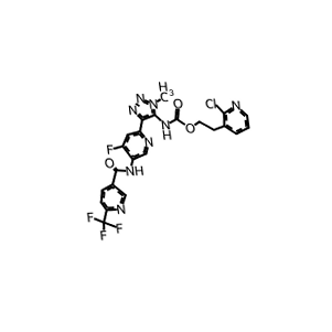 Cn1nnc(-c2cc(F)c(NC(=O)c3ccc(C(F)(F)F)nc3)cn2)c1NC(=O)OCCc1cccnc1Cl